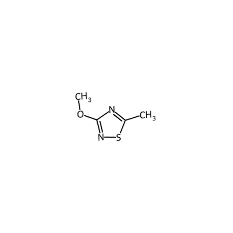 COc1nsc(C)n1